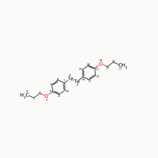 CCCOc1ccc([Te][Te]c2ccc(OCCC)cc2)cc1